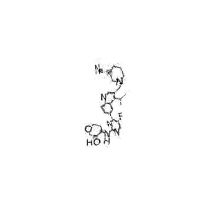 CC(C)c1c(CN2CCC[C@@H](C#N)C2)cnc2ccc(-c3nc(N[C@@H]4CCOC[C@H]4O)ncc3F)cc12